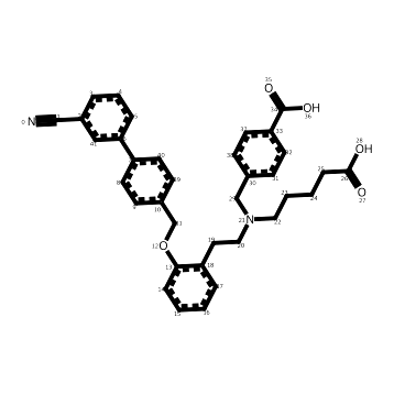 N#Cc1cccc(-c2ccc(COc3ccccc3CCN(CCCCC(=O)O)Cc3ccc(C(=O)O)cc3)cc2)c1